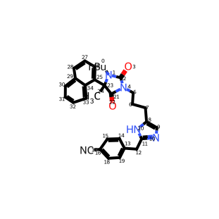 CCCCN1C(=O)N(CCCc2cnc(Cc3ccc(C#N)cc3)[nH]2)C(=O)C1(C)c1cccc2ccccc12